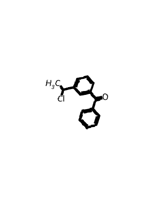 CC(Cl)c1cccc(C(=O)c2ccccc2)c1